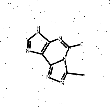 Cc1nnc2c3nc[nH]c3nc(Cl)n12